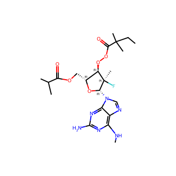 CCC(C)(C)C(=O)OO[C@@H]1[C@@H](COC(=O)C(C)C)O[C@@H](n2cnc3c(NC)nc(N)nc32)[C@]1(C)F